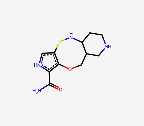 NC(=O)c1[nH]cc2c1OCC1CNCCC1NS2